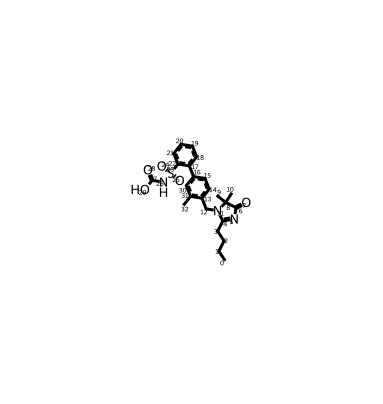 CCCCC1=NC(=O)C(C)(C)N1Cc1ccc(-c2ccccc2S(=O)(=O)NC(=O)O)cc1C